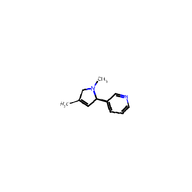 CC1=CC(c2cccnc2)N(C)C1